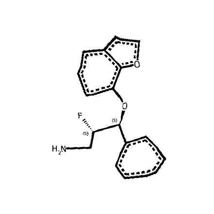 NC[C@H](F)[C@@H](Oc1cccc2ccoc12)c1ccccc1